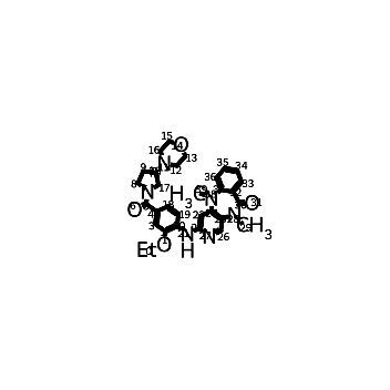 CCOc1cc(C(=O)N2CC[C@@H](N3CCOCC3)C2)ccc1Nc1cc2c(cn1)N(C)C(=O)c1ccccc1N2C